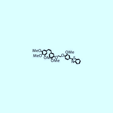 COc1cc(-c2nc3ccccc3s2)ccc1OCCOc1cc(/C=C\c2cc(OC)c(OC)c(OC)c2)ccc1OC